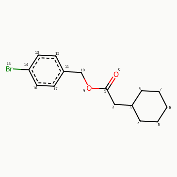 O=C(CC1CCCCC1)OCc1ccc(Br)cc1